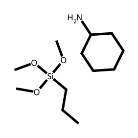 CCC[Si](OC)(OC)OC.NC1CCCCC1